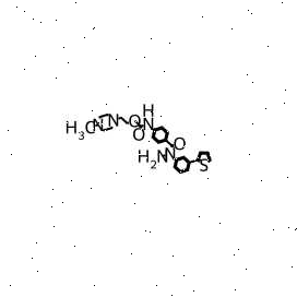 CN1CCN(CCOC(=O)Nc2ccc(C(=O)N(N)c3cccc(-c4cccs4)c3)cc2)CC1